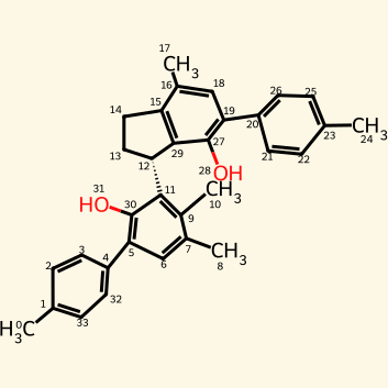 Cc1ccc(-c2cc(C)c(C)c([C@@H]3CCc4c(C)cc(-c5ccc(C)cc5)c(O)c43)c2O)cc1